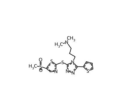 CN(C)CCCn1c(Sc2ncc(S(C)(=O)=O)s2)nnc1-c1cccs1